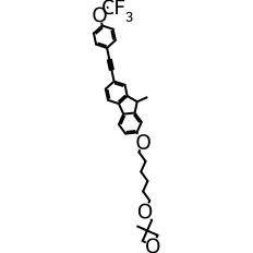 CC1c2cc(C#Cc3ccc(OC(F)(F)F)cc3)ccc2-c2ccc(OCCCCCCOCC3(C)COC3)cc21